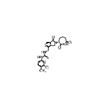 Cc1ccc(NC(=S)NCc2scc3c2CN([C@H]2CCCC(=O)NC2=O)C3=O)nc1Cl